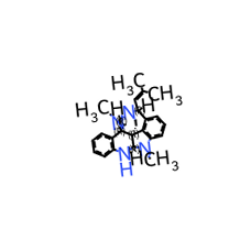 CC(C)=C[C@@H]1c2cccc3c2[C@]24CCN1[C@H]1N(C)CC[C@]12c1ccccc1N[C@@H]4N3C